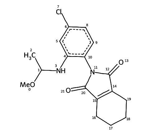 COC(C)Nc1cc(Cl)ccc1N1C(=O)C2=C(CCCC2)C1=O